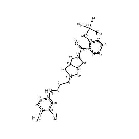 Cc1ccc(NCCCN2CC3CN(C(=O)c4ccccc4OC(F)(F)F)CC3C2)cc1Cl